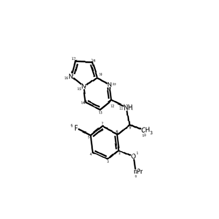 CCCOc1ccc(F)cc1C(C)Nc1ccn2nccc2n1